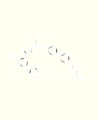 CN/C=C(\C=N)c1cnc(N)c(C(=O)N[C@H]2CCC[C@@H]2OCc2ccc(-c3ccc(OCCN(C)C)cc3)cc2)c1